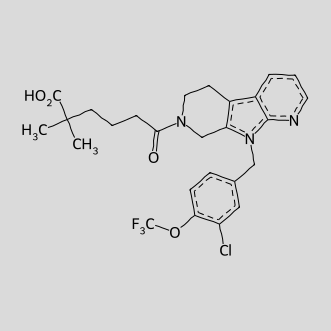 CC(C)(CCCC(=O)N1CCc2c(n(Cc3ccc(OC(F)(F)F)c(Cl)c3)c3ncccc23)C1)C(=O)O